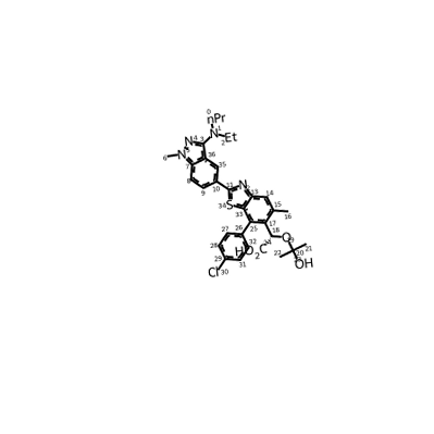 CCCN(CC)c1nn(C)c2ccc(-c3nc4cc(C)c([C@H](OC(C)(C)O)C(=O)O)c(-c5ccc(Cl)cc5)c4s3)cc12